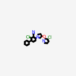 N#Cc1c(N2CCC(Oc3ncccc3Cl)C2)ccc(-c2ccccc2)c1Cl